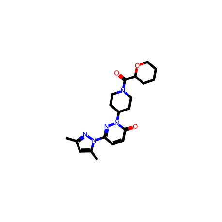 Cc1cc(C)n(-c2ccc(=O)n(C3CCN(C(=O)C4CCCCO4)CC3)n2)n1